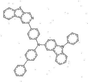 c1ccc(-c2ccc(N(c3ccc(-c4cc5c(cn4)sc4ccccc45)cc3)c3ccc4c(c3)c3ccccc3n4-c3ccccc3)cc2)cc1